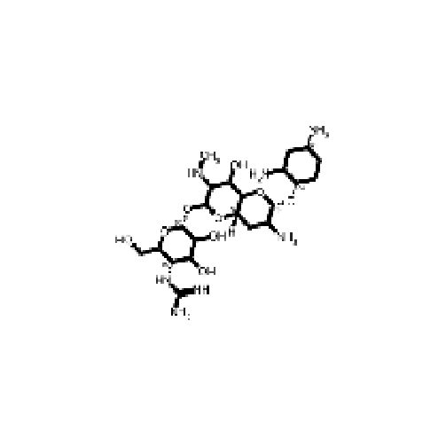 CNC1C(O[C@H]2OC(CO)[C@@H](NC(=N)N)C(O)C2O)O[C@H]2CC(N)[C@@H](O[C@H]3CC[C@H](N)CC3N)OC2C1O